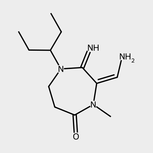 CCC(CC)N1CCC(=O)N(C)/C(=C/N)C1=N